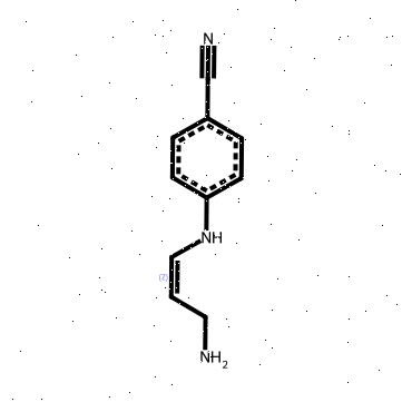 N#Cc1ccc(N/C=C\CN)cc1